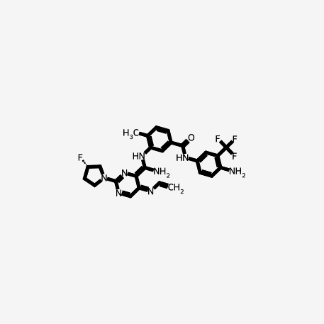 C=C/N=C1/C=NC(N2CC[C@H](F)C2)=N/C1=C(/N)Nc1cc(C(=O)Nc2ccc(N)c(C(F)(F)F)c2)ccc1C